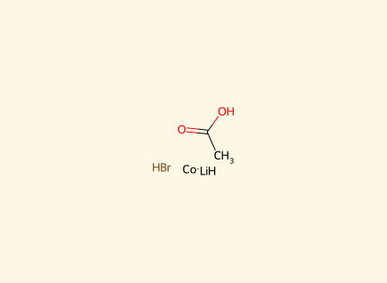 Br.CC(=O)O.[Co].[LiH]